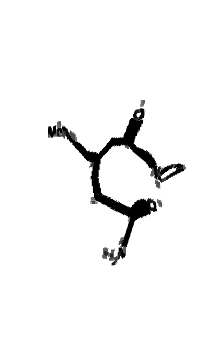 CNC(CC(N)=O)C(=O)N=O